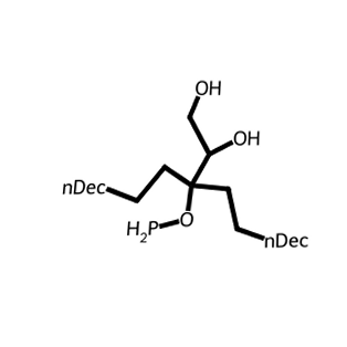 CCCCCCCCCCCCC(CCCCCCCCCCCC)(OP)C(O)CO